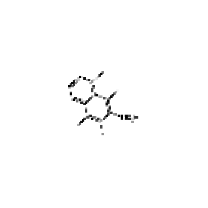 Cc1c(C(=O)O)c(C)c2c(C)cccc2c1C